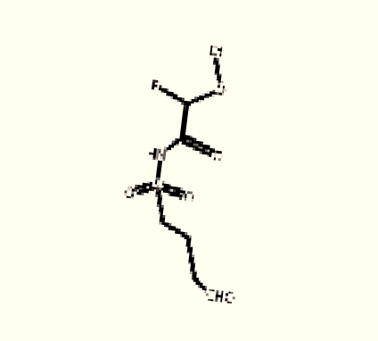 CCOC(F)C(=O)NS(=O)(=O)CCCC=O